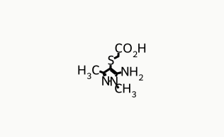 Cc1nn(C)c(N)c1SCC(=O)O